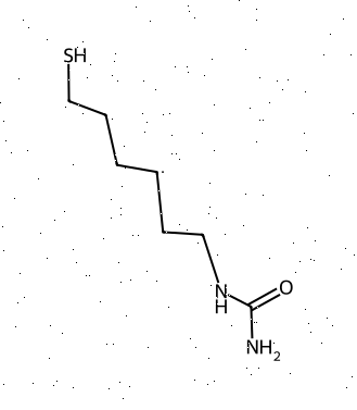 NC(=O)NCC[CH]CCCS